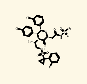 CC[C@@H](CNS(=O)(=O)C1(c2ccccc2F)CC1)N1C(=O)[C@H](CC(=O)NS(=O)(=O)C(C)C)O[C@H](c2cccc(Cl)c2)[C@H]1c1ccc(Cl)cc1